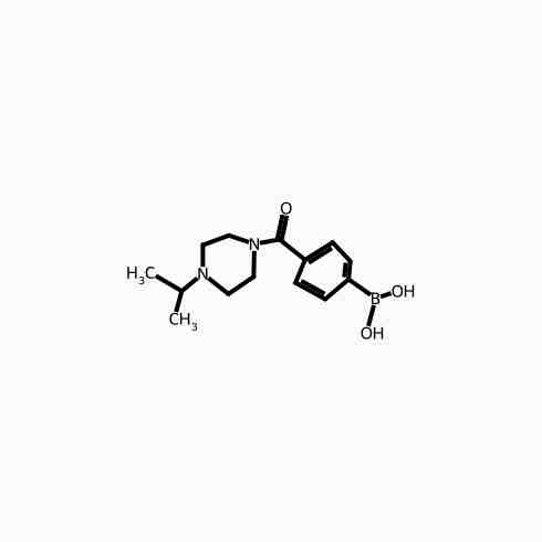 CC(C)N1CCN(C(=O)c2ccc(B(O)O)cc2)CC1